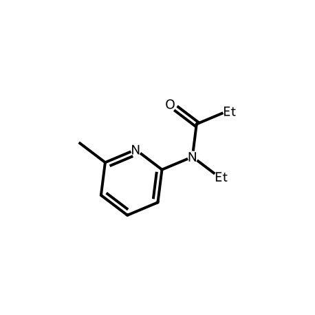 CCC(=O)N(CC)c1cccc(C)n1